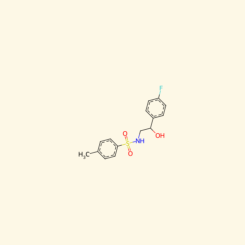 Cc1ccc(S(=O)(=O)NCC(O)c2ccc(F)cc2)cc1